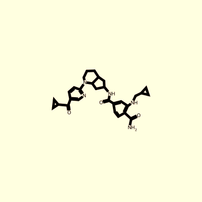 NC(=O)c1ccc(C(=O)NC2CC3CCCN(c4ccc(C(=O)C5CC5)cn4)C3C2)cc1NCC1CC1